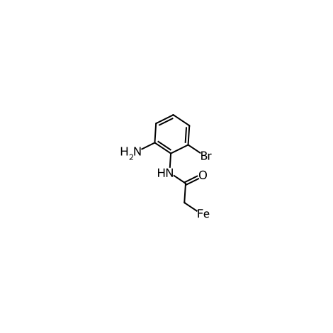 Nc1cccc(Br)c1NC(=O)[CH2][Fe]